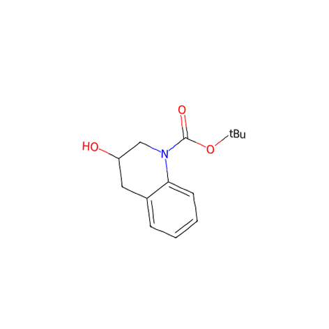 CC(C)(C)OC(=O)N1CC(O)Cc2ccccc21